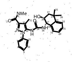 CNC(=O)c1nn(-c2ccccc2)c(NC(=O)N[C@H]2c3ccccc3C(C)(C)C[C@@H]2O)c1C